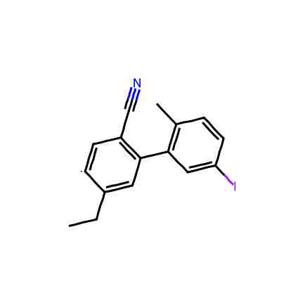 CCc1[c]cc(C#N)c(-c2cc(I)ccc2C)c1